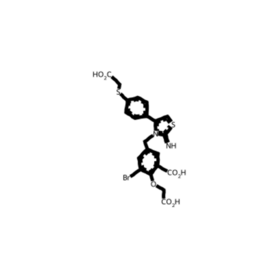 N=c1scc(-c2ccc(SCC(=O)O)cc2)n1Cc1cc(Br)c(OCC(=O)O)c(C(=O)O)c1